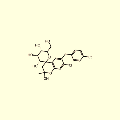 CCc1ccc(Cc2cc3c(cc2Cl)OC(C)(O)CC32O[C@H](CO)[C@@H](O)[C@H](O)[C@H]2O)cc1